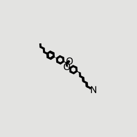 CCCCc1ccc([C@H]2CC[C@H](C(=O)O[C@H]3CC[C@H](CCC=CC=CC#N)CC3)CC2)cc1